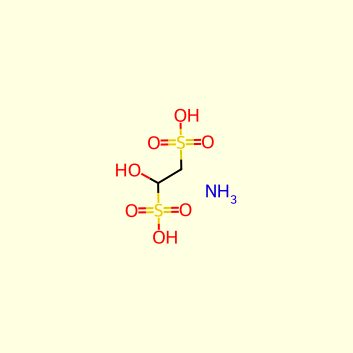 N.O=S(=O)(O)CC(O)S(=O)(=O)O